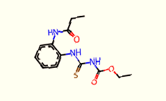 CCOC(=O)NC(=S)Nc1ccccc1NC(=O)CC